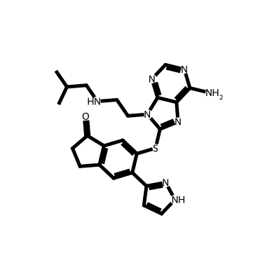 CC(C)CNCCn1c(Sc2cc3c(cc2-c2cc[nH]n2)CCC3=O)nc2c(N)ncnc21